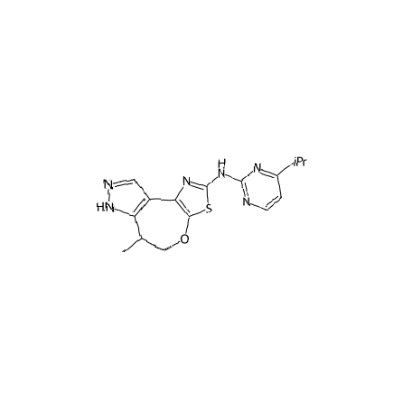 CC(C)c1ccnc(Nc2nc3c(s2)OCC(C)c2[nH]ncc2-3)n1